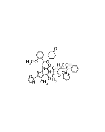 COc1ccccc1C(Cn1c(=O)n(C(C)(C)C(=O)CC(C)(C)[Si](O)(c2ccccc2)c2ccccc2)c(=O)c2c(C)c(-c3ncco3)sc21)OC1CCC(=O)CC1